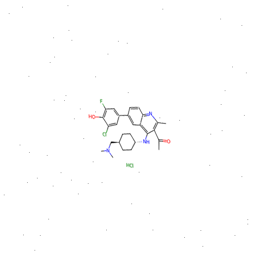 CC(=O)c1c(C)nc2ccc(-c3cc(F)c(O)c(Cl)c3)cc2c1N[C@H]1CC[C@H](CN(C)C)CC1.Cl